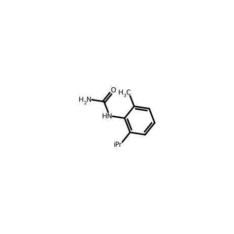 Cc1cccc(C(C)C)c1NC(N)=O